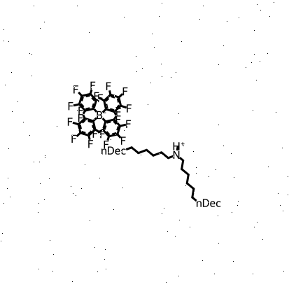 CCCCCCCCCCCCCCCC[NH+](C)CCCCCCCCCCCCCCCC.Fc1c(F)c(F)c([B-](c2c(F)c(F)c(F)c(F)c2F)(c2c(F)c(F)c(F)c(F)c2F)c2c(F)c(F)c(F)c(F)c2F)c(F)c1F